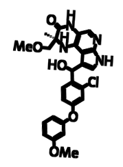 COC[C@]1(C)Nc2c(cnc3[nH]cc(C(O)c4ccc(Oc5cccc(OC)c5)cc4Cl)c23)NC1=O